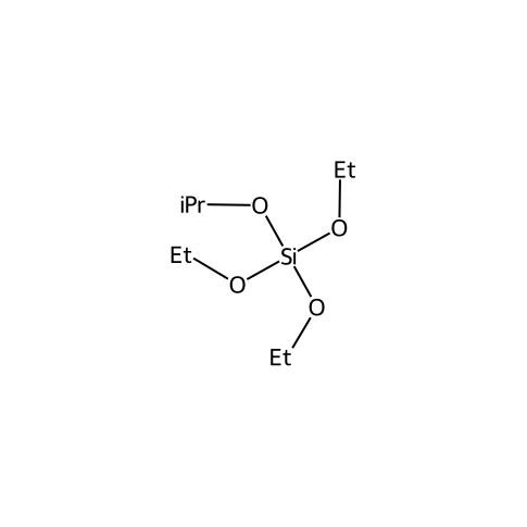 CCO[Si](OCC)(OCC)OC(C)C